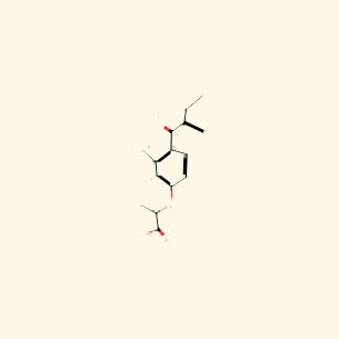 C=C(CC)C(=O)c1ccc(OC(Cl)C(=O)O)cc1Cl